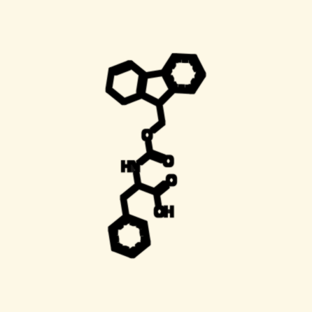 O=C(NC(Cc1ccccc1)C(=O)O)OCC1C2=C(C=CCC2)c2ccccc21